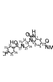 CNC(=O)c1ccc2c(c1)[nH]c(=O)n2C1CCN(CC(O)c2ccc(Cl)cc2)CC1